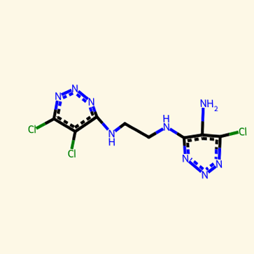 Nc1c(Cl)nnnc1NCCNc1nnnc(Cl)c1Cl